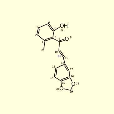 Cc1cccc(O)c1C(=O)/C=C/c1ccc2c(c1)OCO2